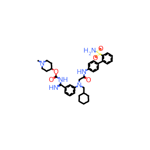 CN1CCC(OC(=O)NC(=N)c2cccc(N(CC(=O)Nc3ccc(-c4ccccc4S(N)(=O)=O)cc3)CC3CCCCC3)c2)CC1